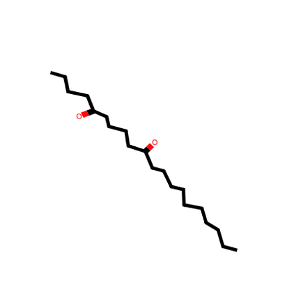 CCCCCCCCCCC(=O)CCCCC(=O)CCCC